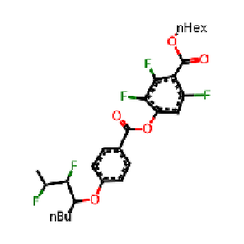 CCCCCCOC(=O)c1c(F)cc(OC(=O)c2ccc(OC(CCCC)C(F)C(C)F)cc2)c(F)c1F